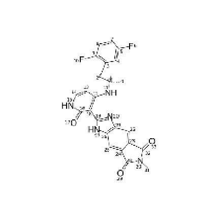 C[C@@H](Cc1cc(F)ccc1F)Nc1cc[nH]c(=O)c1-c1nc2cc3c(cc2[nH]1)C(=O)N(C)C3=O